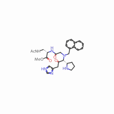 COC(=O)[C@H](CNC(C)=O)NC(=O)CN(Cc1cccc2ccccc12)C(C(=O)Cc1c[nH]cn1)[C@@H]1CCCN1